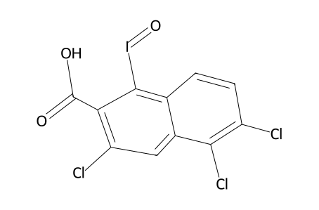 O=Ic1c(C(=O)O)c(Cl)cc2c(Cl)c(Cl)ccc12